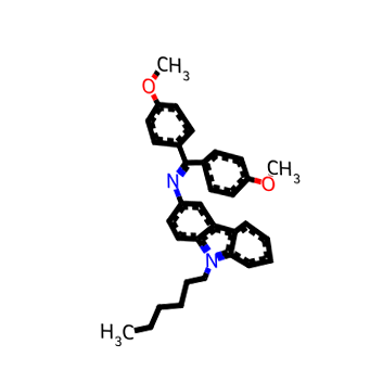 CCCCCCn1c2ccccc2c2cc(N=C(c3ccc(OC)cc3)c3ccc(OC)cc3)ccc21